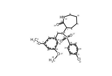 COc1cc(CN(C2CCCCNC2=O)S(=O)(=O)c2ccc(Cl)cc2)cc(OC)c1